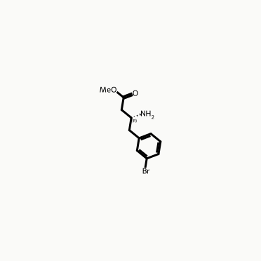 COC(=O)C[C@H](N)Cc1cccc(Br)c1